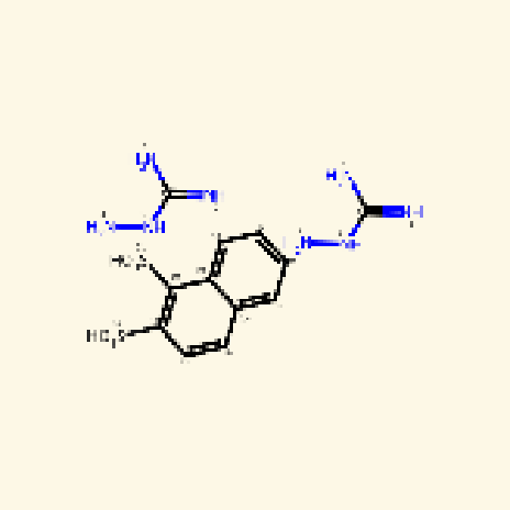 N=C(N)NN.N=C(N)NN.O=S(=O)(O)c1ccc2ccccc2c1S(=O)(=O)O